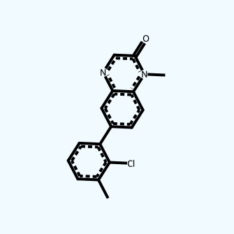 Cc1cccc(-c2ccc3c(c2)ncc(=O)n3C)c1Cl